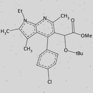 CCn1c(C)c(C)c2c(-c3ccc(Cl)cc3)c(C(OC(C)(C)C)C(=O)OC)c(C)nc21